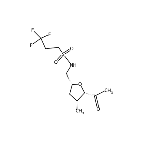 CC(=O)[C@H]1O[C@@H](CNS(=O)(=O)CCC(F)(F)F)C[C@H]1C